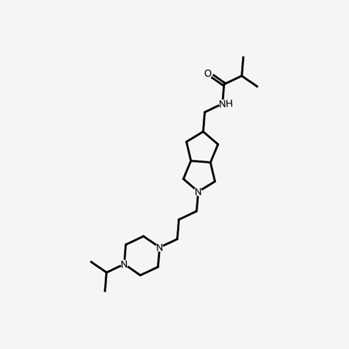 CC(C)C(=O)NCC1CC2CN(CCCN3CCN(C(C)C)CC3)CC2C1